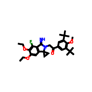 CCOc1cc2c(c(F)c1OCC)C(=N)N(CC(=O)c1cc(C(C)(C)C)c(OC)c(C(C)(C)C)c1)C21CC1